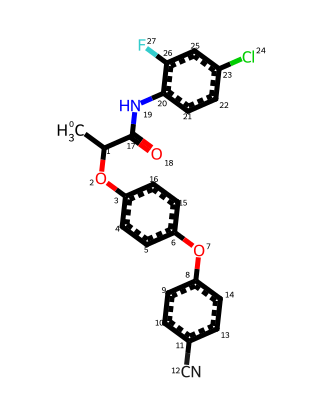 CC(Oc1ccc(Oc2ccc(C#N)cc2)cc1)C(=O)Nc1ccc(Cl)cc1F